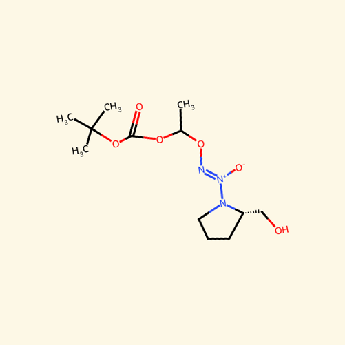 CC(ON=[N+]([O-])N1CCC[C@H]1CO)OC(=O)OC(C)(C)C